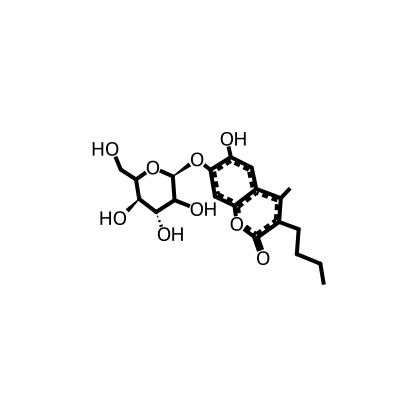 CCCCc1c(C)c2cc(O)c(O[C@@H]3OC(CO)[C@H](O)[C@@H](O)C3O)cc2oc1=O